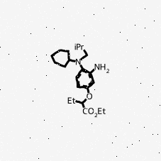 CCOC(=O)C(CC)Oc1ccc(N(CC(C)C)C2CCCCC2)c(N)c1